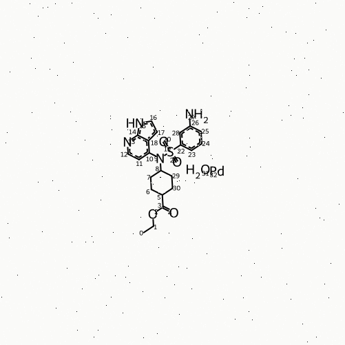 CCOC(=O)C1CCC(N(c2ccnc3[nH]ccc23)S(=O)(=O)c2cccc(N)c2)CC1.O.[Pd]